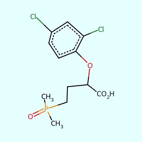 CP(C)(=O)CCC(Oc1ccc(Cl)cc1Cl)C(=O)O